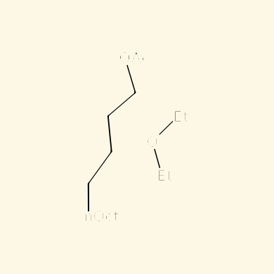 CCCCCCCCCCCCOC(C)=O.CCOCC